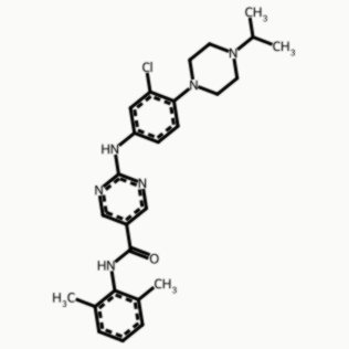 Cc1cccc(C)c1NC(=O)c1cnc(Nc2ccc(N3CCN(C(C)C)CC3)c(Cl)c2)nc1